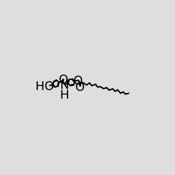 CCCCCCCCCCCCCCCCCC(=O)Oc1ccc(NC(=O)c2ccc(O)cc2)cc1